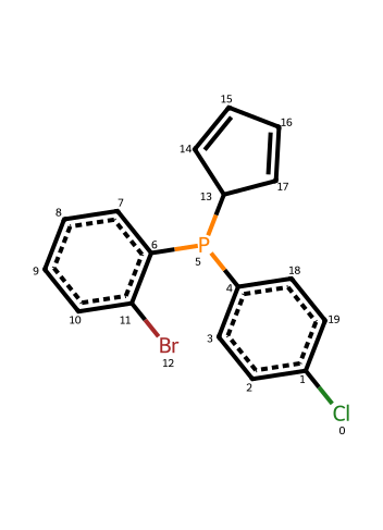 Clc1ccc(P(c2ccccc2Br)C2C=CC=C2)cc1